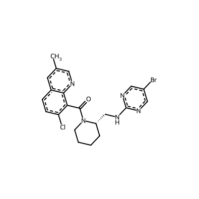 Cc1cnc2c(C(=O)N3CCCC[C@H]3CNc3ncc(Br)cn3)c(Cl)ccc2c1